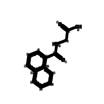 O=C(O)CNC(=O)c1cccc2ccccc12